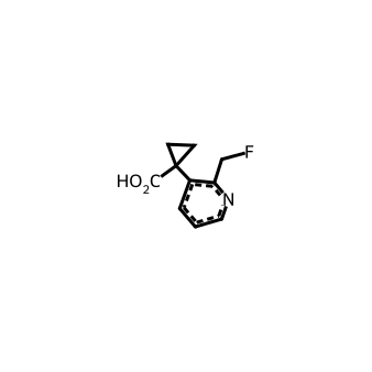 O=C(O)C1(c2cccnc2CF)CC1